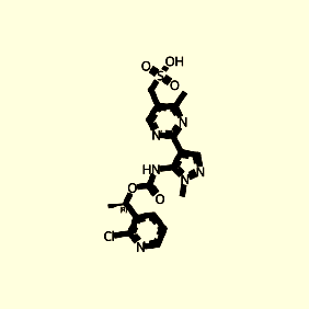 Cc1nc(-c2cnn(C)c2NC(=O)O[C@H](C)c2cccnc2Cl)ncc1CS(=O)(=O)O